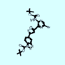 CC(C)(C)OC(=O)Nc1ncc(Br)nc1-c1cc(-c2ccc3c(c2)nnn3C(=O)OC(C)(C)C)no1